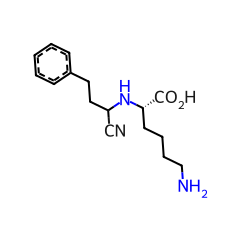 N#CC(CCc1ccccc1)N[C@@H](CCCCN)C(=O)O